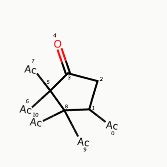 CC(=O)C1CC(=O)C(C(C)=O)(C(C)=O)C1(C(C)=O)C(C)=O